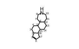 C1=CC2CCC3C4CCNCCC4CCC3C2C1